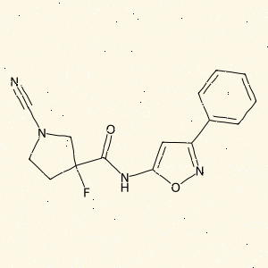 N#CN1CCC(F)(C(=O)Nc2cc(-c3ccccc3)no2)C1